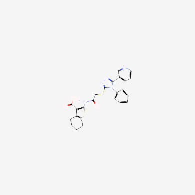 O=C(CSc1nnc(-c2cccnc2)n1-c1ccccc1)Nc1sc2c(c1C(=O)O)CCCC2